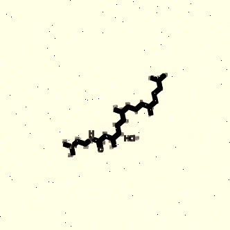 CC(C)CCCC(C)CCCC(C)CCCC(C)CC(=O)NCCN(C)C.Cl